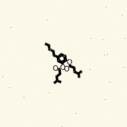 CCCCCc1ccc(OC(=O)CCC(C)C)c(OC(=O)CCC(C)C)c1